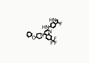 Fc1c[nH]c2cc(Nc3cc(N4CCC(Oc5ccccc5)CC4)c4ccc(C(F)(F)F)cc4n3)ccc12